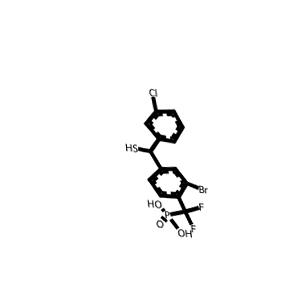 O=P(O)(O)C(F)(F)c1ccc(C(S)c2cccc(Cl)c2)cc1Br